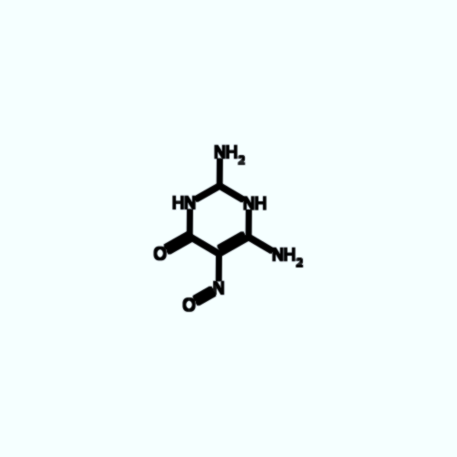 NC1=C(N=O)C(=O)NC(N)N1